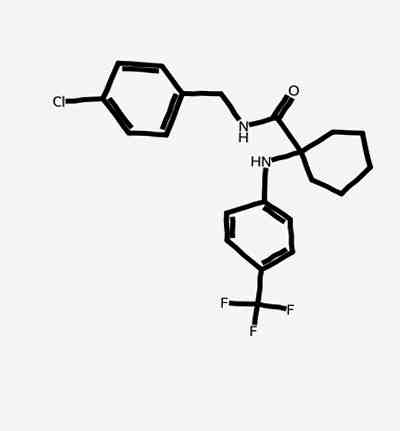 O=C(NCc1ccc(Cl)cc1)C1(Nc2ccc(C(F)(F)F)cc2)CCCCC1